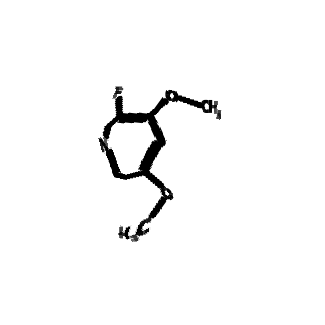 COc1cnc(F)c(OC)c1